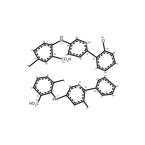 Cc1cc(Nc2c(C)cccc2C(=O)O)cnc1-c1ccccc1.Cc1ccc(Nc2ccc(-c3ccccc3Cl)nc2)c(C(=O)O)c1